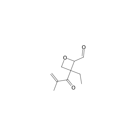 C=C(C)C(=O)C1(CC)COC1C=O